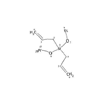 C=CC[Si](CC=C)(OCC)OCCC